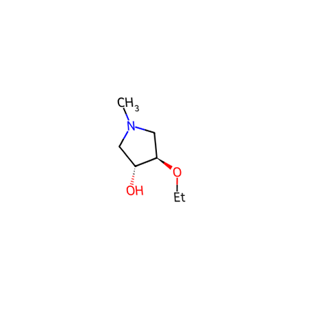 CCO[C@@H]1CN(C)C[C@H]1O